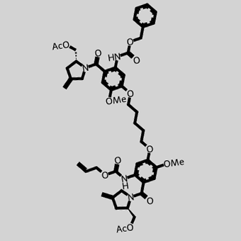 C=CCOC(=O)Nc1cc(OCCCCCOc2cc(NC(=O)OCc3ccccc3)c(C(=O)N3CC(=C)C[C@@H]3COC(C)=O)cc2OC)c(OC)cc1C(=O)N1CC(=C)C[C@@H]1COC(C)=O